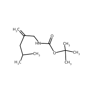 C=C(CNC(=O)OC(C)(C)C)CC(C)C